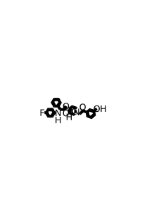 O=C(C[N+]12CCC(CC1)[C@@H](OC(=O)C(Nc1ccc(F)cc1)c1ccccc1)C2)c1cccc(O)c1